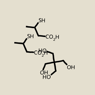 CC(S)CC(=O)O.CC(S)CC(=O)O.OCC(CO)(CO)CO